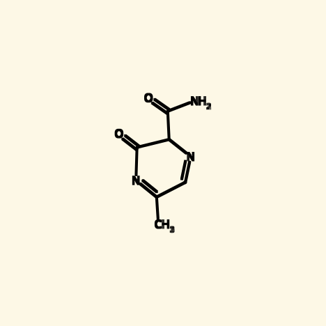 CC1=NC(=O)C(C(N)=O)N=C1